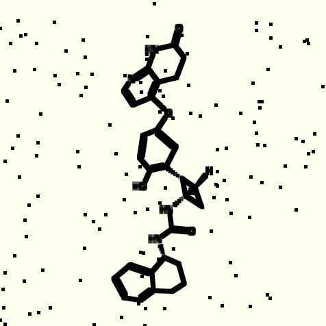 O=C1CCc2c(Oc3ccc(O)c([C@@H]4[C@@H]5C[C@@]45NC(=O)N[C@@H]4CCCc5ccccc54)c3)ccnc2N1